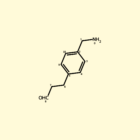 NCc1ccc(CCC=O)cc1